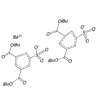 CC(C)COC(=O)c1cc(C(=O)OCC(C)C)cc(S(=O)(=O)[O-])c1.CC(C)COC(=O)c1cc(C(=O)OCC(C)C)cc(S(=O)(=O)[O-])c1.[Ba+2]